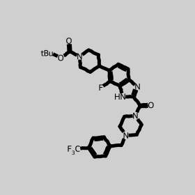 CC(C)(C)OC(=O)N1CCC(c2ccc3nc(C(=O)N4CCN(Cc5ccc(C(F)(F)F)cc5)CC4)[nH]c3c2F)CC1